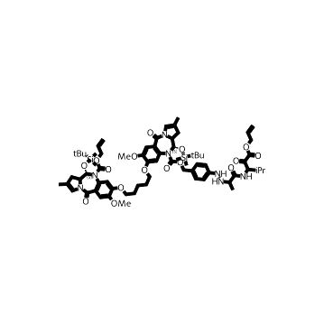 C=CCOC(=O)C(=O)C(NC(=O)C(C)NNc1ccc(COC(=O)N2c3cc(OCCCCCOc4cc5c(cc4OC)C(=O)N4C=C(C)CC4[C@H](O[Si](C)(C)C(C)(C)C)N5C(=O)OCC=C)c(OC)cc3C(=O)N3C=C(C)CC3[C@@H]2O[Si](C)(C)C(C)(C)C)cc1)C(C)C